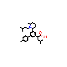 Cc1ccc(-c2cc(C(CC(C)C)C(=O)O)cc(C3CCCC(C)N3CCC(C)C)c2)cc1